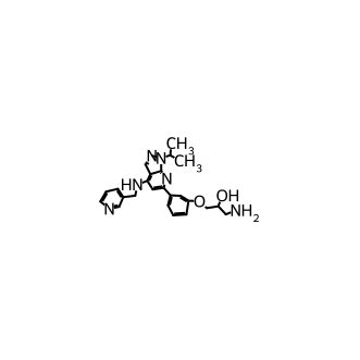 CC(C)n1ncc2c(NCc3cccnc3)cc(-c3cccc(OCC(O)CN)c3)nc21